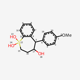 COc1ccc(C2c3ccccc3S(O)(O)CCC2O)cc1